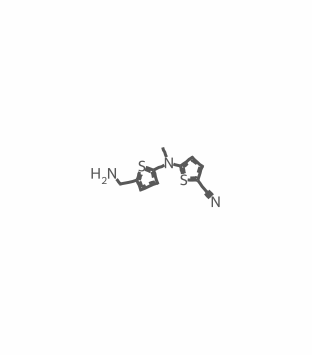 CN(c1ccc(C#N)s1)c1ccc(CN)s1